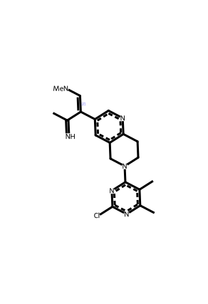 CN/C=C(\C(C)=N)c1cnc2c(c1)CN(c1nc(Cl)nc(C)c1C)CC2